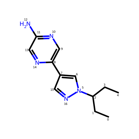 CCC(CC)n1cc(-c2cnc(N)cn2)cn1